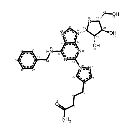 NC(=O)CCCc1cnn(-c2nc(NCc3ccccc3)c3ncn([C@@H]4O[C@H](CO)[C@@H](O)[C@@H]4O)c3n2)c1